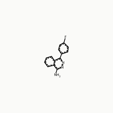 Nc1nnc(-c2ccc(F)cc2)c2ccccc12